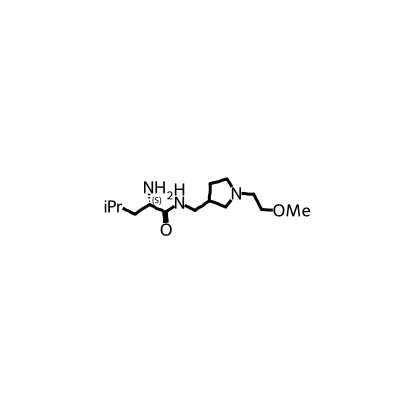 COCCN1CCC(CNC(=O)[C@@H](N)CC(C)C)C1